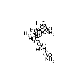 C=C(C)C(=O)O.C=C(C)C(=O)O.CCOC(N)=O.CCOC(N)=O.CCOC(N)=O